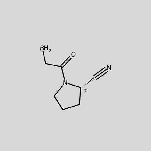 BCC(=O)N1CCC[C@H]1C#N